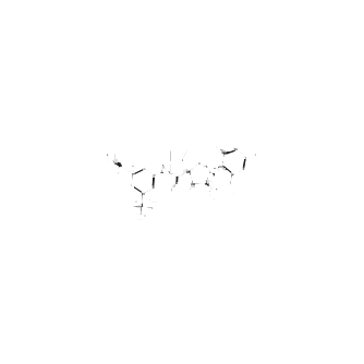 CC[C@@]1(C(=O)Nc2cc(C#N)cc(C(F)(F)F)c2)CN(c2c(C)cccc2C)C(=O)[C@H]1C